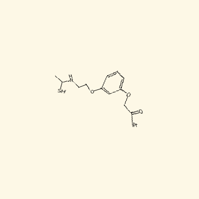 CC(S)NCCOc1cccc(OCC(=O)C(C)C)c1